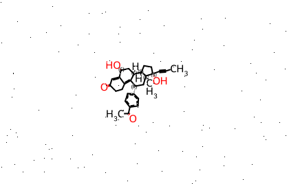 CC#C[C@]1(O)CC[C@H]2[C@@H]3C[C@H](O)C4=CC(=O)CCC4=C3[C@@H](c3ccc(C(C)=O)cc3)C[C@@]21C